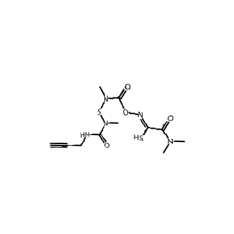 C#CCNC(=O)N(C)SN(C)C(=O)ON=C(S)C(=O)N(C)C